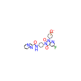 O=C(N[C@H]1CC[C@@H](n2c(=O)c3cc(F)cnc3n(C3CC[S+]([O-])CC3)c2=O)CC1)c1cn2ccccc2n1